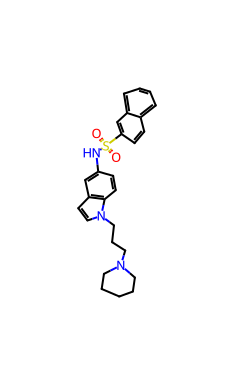 O=S(=O)(Nc1ccc2c(ccn2CCCN2CCCCC2)c1)c1ccc2ccccc2c1